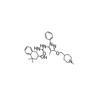 Cc1c(OCC2CCN(C)CC2)nn(-c2ccccc2)c1NC(=O)N[C@H]1c2ccccc2C(C)(C)C[C@@H]1O